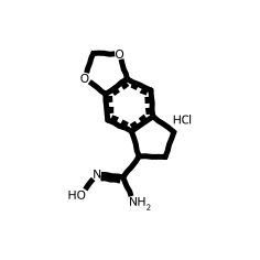 Cl.NC(=NO)C1CCc2cc3c(cc21)OCO3